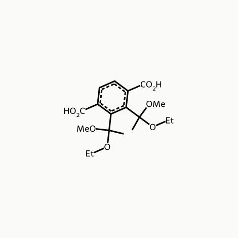 CCOC(C)(OC)c1c(C(=O)O)ccc(C(=O)O)c1C(C)(OC)OCC